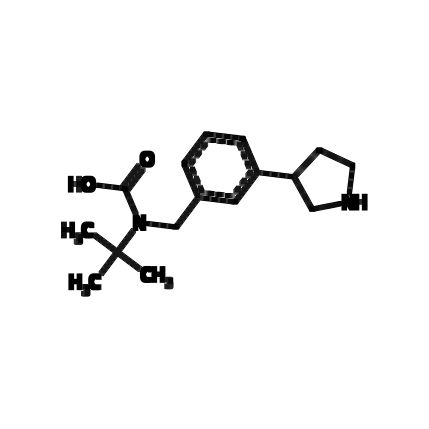 CC(C)(C)N(Cc1cccc(C2CCNC2)c1)C(=O)O